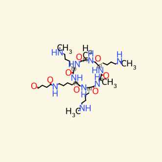 CNCCCC[C@@H]1NC(=O)[C@@H](C)NC(=O)[C@H](CCCCNC)NC(=O)[C@@H](CCCCNC(=O)CCC=O)NC(=O)[C@H](CCCCNC)NC(=O)[C@@H](C)NC1=O